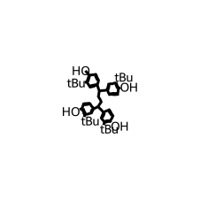 CC(C)(C)c1cc(C(CCC(c2ccc(O)c(C(C)(C)C)c2)c2ccc(O)c(C(C)(C)C)c2)c2ccc(O)c(C(C)(C)C)c2)ccc1O